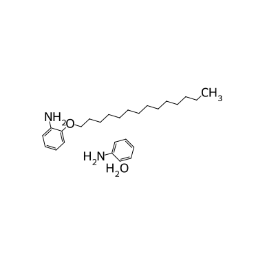 CCCCCCCCCCCCCCOc1ccccc1N.Nc1ccccc1.O